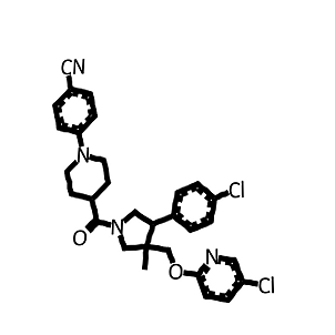 CC1(COc2ccc(Cl)cn2)CN(C(=O)C2CCN(c3ccc(C#N)cc3)CC2)CC1c1ccc(Cl)cc1